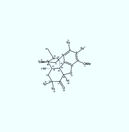 [2H]c1c([2H])c(OC)c2c3c1C[C@]1([2H])[C@@H]4CC([2H])([2H])C(=O)C([2H])(O2)[C@]34CCN1C